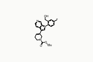 CC(C)(C)OC(=O)N1CCC=C(c2cn(-c3ccc(F)cc3CO)c3cnccc23)C1